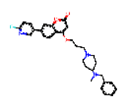 CN(Cc1ccccc1)C1CCN(CCCOc2cc(=O)oc3cc(-c4ccc(F)nc4)ccc23)CC1